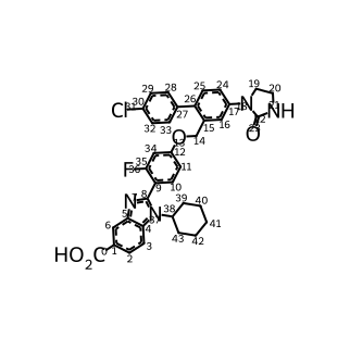 O=C(O)c1ccc2c(c1)nc(-c1ccc(OCc3cc(N4CCNC4=O)ccc3-c3ccc(Cl)cc3)cc1F)n2C1CCCCC1